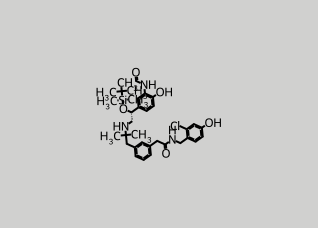 CC(C)(Cc1cccc(CC(=O)NCc2ccc(O)cc2Cl)c1)NC[C@H](O[Si](C)(C)C(C)(C)C)c1ccc(O)c(NC=O)c1